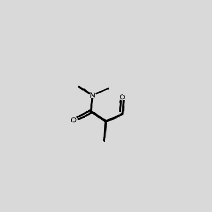 CC(C=O)C(=O)N(C)C